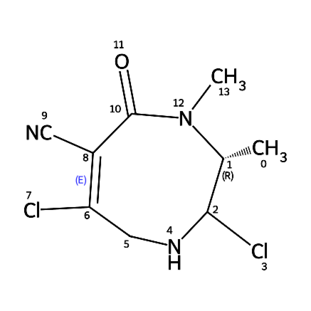 C[C@@H]1C(Cl)NC/C(Cl)=C(/C#N)C(=O)N1C